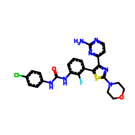 Nc1nccc(-c2nc(N3CCOCC3)sc2-c2cccc(NC(=O)Nc3ccc(Cl)cc3)c2F)n1